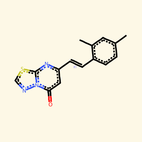 Cc1ccc(/C=C/c2cc(=O)n3ncsc3n2)c(C)c1